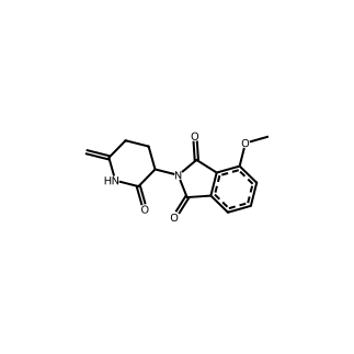 C=C1CCC(N2C(=O)c3cccc(OC)c3C2=O)C(=O)N1